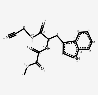 COC(=O)C(=O)NC(Cc1c[nH]c2ccccc12)C(=O)NCC#N